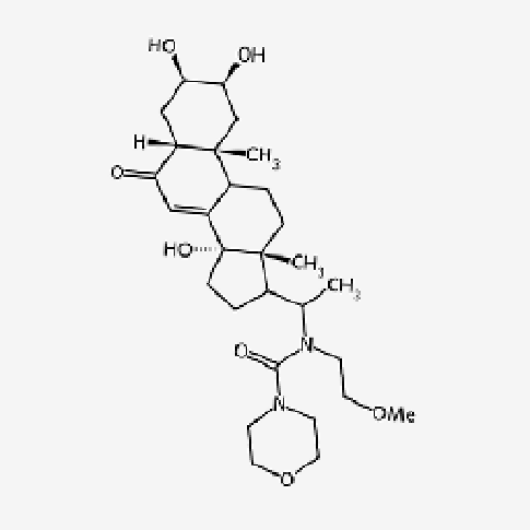 COCCN(C(=O)N1CCOCC1)C(C)C1CC[C@@]2(O)C3=CC(=O)[C@@H]4C[C@@H](O)[C@@H](O)C[C@]4(C)C3CC[C@]12C